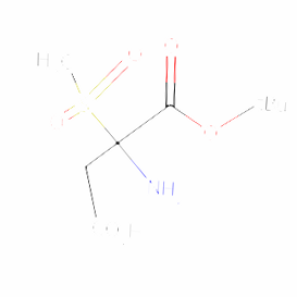 CC(C)(C)OC(=O)C(N)(CC(=O)O)S(C)(=O)=O